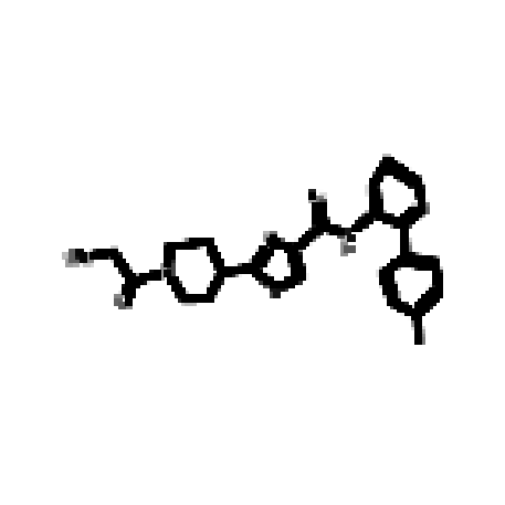 Cc1ccc(-c2ccccc2NC(=O)c2csc(C3CCN(C(=O)CC(C)(C)C)CC3)n2)cc1